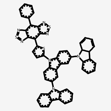 C1=CC2c3ccccc3N(c3ccc4c(c3)c3cc(-n5c6ccccc6c6ccccc65)ccc3n4-c3ccc(-c4c5c(c(-c6ccccc6)c6nsnc46)N=S=N5)s3)C2C=C1